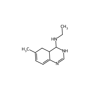 CCNC1NC=NC2=CC=C(C)CC21